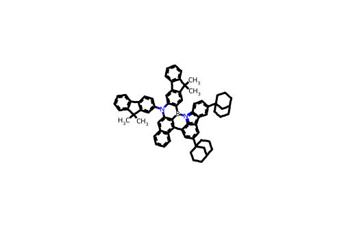 CC1(C)c2ccccc2-c2ccc(N3c4cc5c(cc4B4c6c3cc3ccccc3c6-c3cc(C67CCCC(CCC6)C7)cc6c7cc(C89CCCC(CCC8)C9)ccc7n4c36)C(C)(C)c3ccccc3-5)cc21